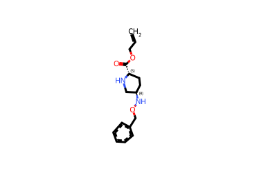 C=CCOC(=O)[C@@H]1CC[C@@H](NOCc2ccccc2)CN1